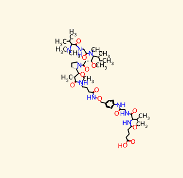 CC[C@H](C)[C@@H]([C@@H](CC(=O)N1CCC[C@H]1[C@H](OC)[C@@H](C)C(=O)NCCCC(=O)NOCc1ccc(NC(=O)CNC(=O)C(NC(=O)CCCC(=O)O)C(C)C)cc1)OC)N(C)C(=O)CNC(=O)C(C(C)C)N(C)C